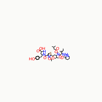 CC[C@H](C)C(NC(=O)[C@H]1CCCCN1C)C(=O)N(COC(=O)CC(C)C)C(CC(OC(C)=O)c1nc(C(=O)NC(Cc2ccc(O)cc2)CC(C)C(=O)O)cs1)C(C)C